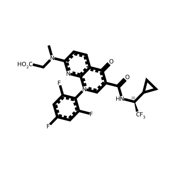 CN(CC(=O)O)c1ccc2c(=O)c(C(=O)N[C@@H](C3CC3)C(F)(F)F)cn(-c3c(F)cc(F)cc3F)c2n1